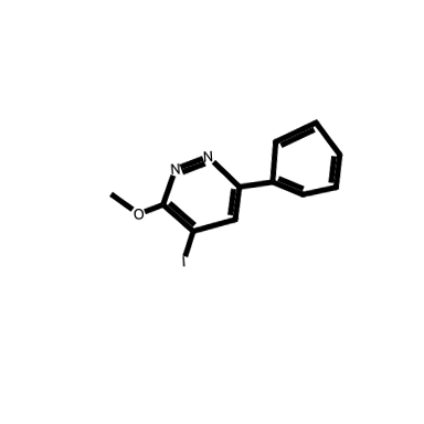 COc1nnc(-c2ccccc2)cc1I